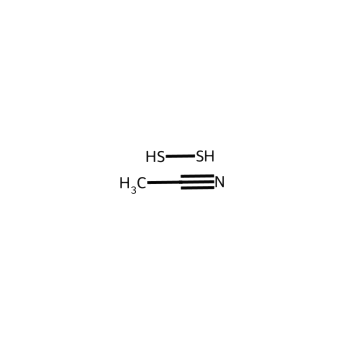 CC#N.SS